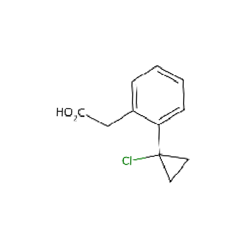 O=C(O)Cc1ccccc1C1(Cl)CC1